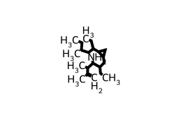 C=C(C)C(C)C(N)C(CC)CC1CC1C(CC)CC(C)CC